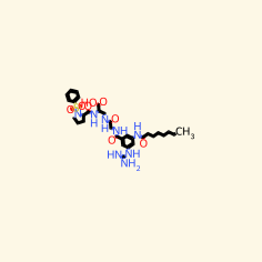 CCCCCCCC(=O)Nc1cc(NC(=N)N)cc(C(=O)NCC(=O)NCC(NC(=O)C2CCCN2S(=O)(=O)c2ccccc2)C(=O)O)c1